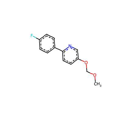 COCOc1ccc(-c2ccc(F)cc2)nc1